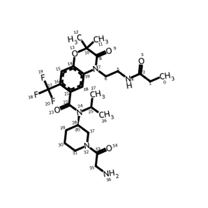 CCC(=O)NCCN1C(=O)C(C)(C)Oc2cc(C(F)(F)F)c(C(=O)N(C(C)C)[C@@H]3CCCN(C(=O)CN)C3)cc21